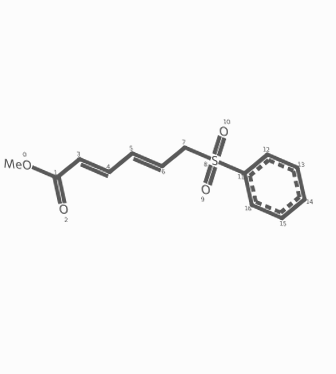 COC(=O)C=CC=CCS(=O)(=O)c1ccccc1